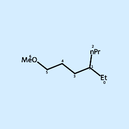 [CH2]C[C](CCC)CCCOC